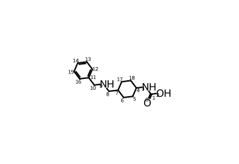 O=C(O)NC1CCC(CNCc2ccccc2)CC1